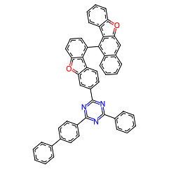 c1ccc(-c2ccc(-c3nc(-c4ccccc4)nc(-c4ccc5c(c4)oc4cccc(-c6c7ccccc7cc7oc8ccccc8c67)c45)n3)cc2)cc1